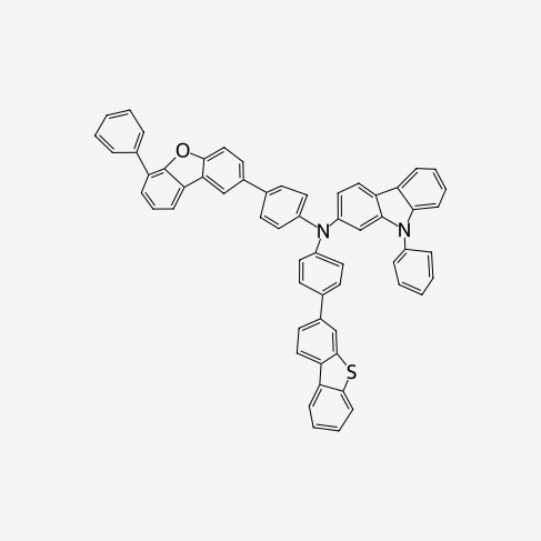 c1ccc(-c2cccc3c2oc2ccc(-c4ccc(N(c5ccc(-c6ccc7c(c6)sc6ccccc67)cc5)c5ccc6c7ccccc7n(-c7ccccc7)c6c5)cc4)cc23)cc1